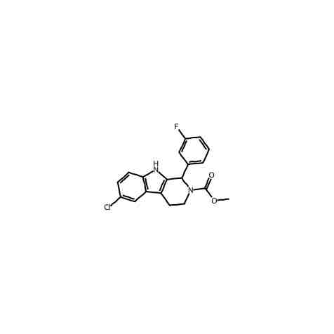 COC(=O)N1CCc2c([nH]c3ccc(Cl)cc23)C1c1cccc(F)c1